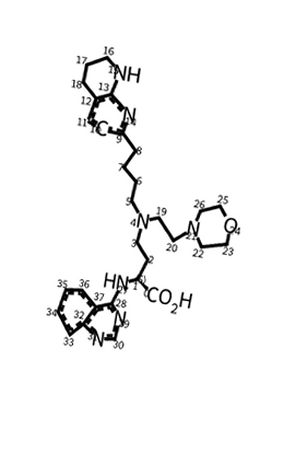 O=C(O)[C@H](CCN(CCCCc1ccc2c(n1)NCCC2)CCN1CCOCC1)Nc1ncnc2ccccc12